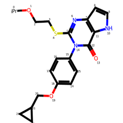 CC(C)OCCSc1nc2cc[nH]c2c(=O)n1-c1ccc(OCC2CC2)cc1